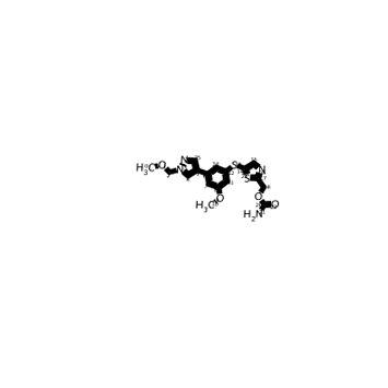 COCn1cc(-c2cc(OC)cc(Sc3cnc(COC(N)=O)s3)c2)cn1